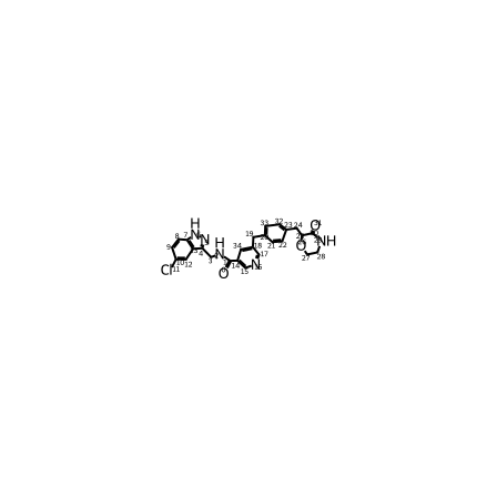 O=C(NCc1n[nH]c2ccc(Cl)cc12)c1cncc(Cc2ccc(CC3OCCNC3=O)cc2)c1